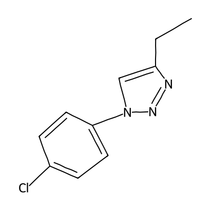 CCc1cn(-c2ccc(Cl)cc2)nn1